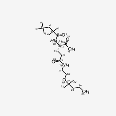 CC(C)(C)CC(C)(C)C(=O)N[Si@@H](CCC(=O)NCCOC(C)(C)CCO)C(=O)O